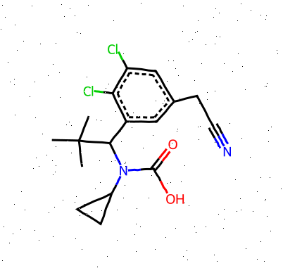 CC(C)(C)C(c1cc(CC#N)cc(Cl)c1Cl)N(C(=O)O)C1CC1